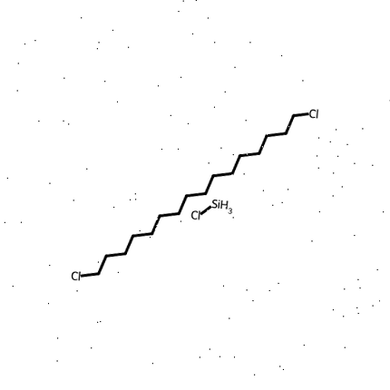 ClCCCCCCCCCCCCCCCCCl.[SiH3]Cl